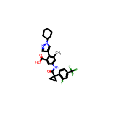 Cc1cc(NC(=O)C2(c3ccc(C(F)(F)F)cc3F)CC2)cc(C(=O)O)c1-c1cnn(C2CCCCC2)c1